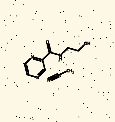 CC#N.O=C(NCCO)c1cnccn1